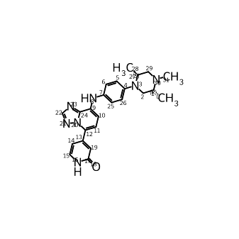 C[C@@H]1CN(c2ccc(Nc3ccc(-c4cc[nH]c(=O)c4)n4ncnc34)cc2)[C@@H](C)CN1C